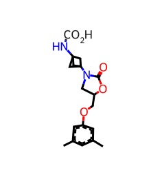 Cc1cc(C)cc(OCC2CN(C34CC(NC(=O)O)(C3)C4)C(=O)O2)c1